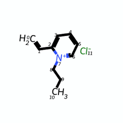 C=Cc1cccc[n+]1CCC.[Cl-]